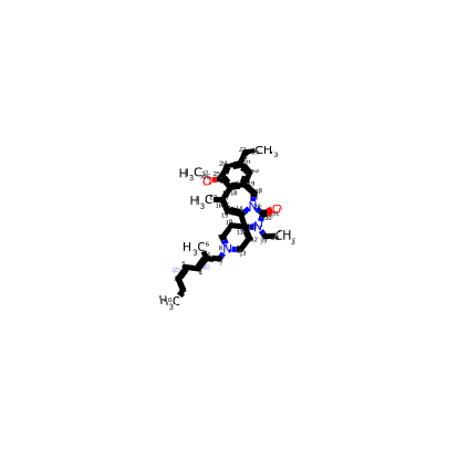 CC/C=C\C=C(/C)CN1CCC2(CC1)C1=CC(C)c3c(cc(CC)cc3OC)CN1C(=O)N2CC